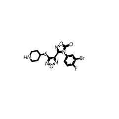 O=c1onc(-c2nonc2SC2CCNCC2)n1-c1ccc(F)c(Br)c1